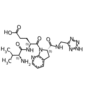 CC(C)[C@H](N)C(=O)N[C@@H](CCC(=O)O)C(=O)N1c2ncccc2C[C@H]1C(=O)NCc1nn[nH]n1